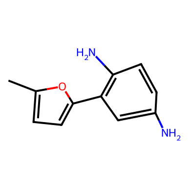 Cc1ccc(-c2cc(N)ccc2N)o1